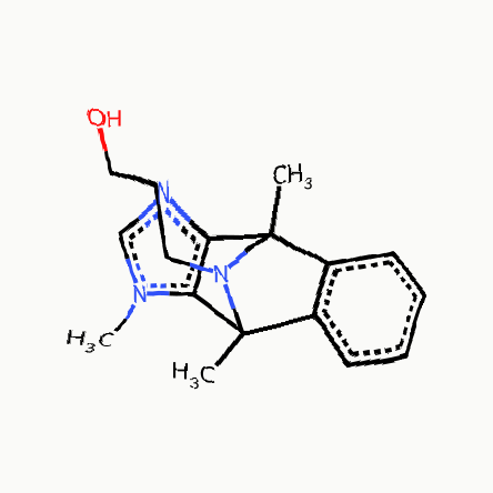 Cn1cnc2c1C1(C)c3ccccc3C2(C)N1CCCO